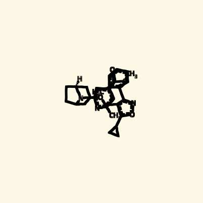 COC(=O)c1cc(C)nc(N2C3CC[C@H]2CC(OCc2c(-c4ccccc4C)noc2C2CC2)C3)c1